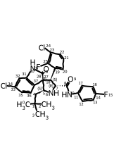 CC(C)(C)C[C@@H]1N[C@@H](C(=O)Nc2ccc(F)cc2)[C@H](c2cccc(Cl)c2F)[C@]12C(=O)Nc1cc(Cl)ccc12